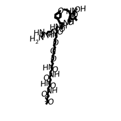 CC(=O)SCC(=O)NCC(=O)NCC(=O)NCC(=O)NCCOCCOCCOCCNC(=O)[C@H](CCCNC(=N)N)NC(=O)[C@@H]1Cc2ccc(cc2)OCCCC(C(=O)NO)[C@@H](CC(C)C)C(=O)N1